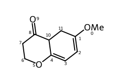 COC1=CC=C2OCCC(=O)C2C1